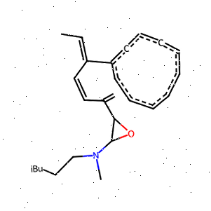 C=C(/C=C\C(=C/C)c1ccccccccc1)C1OC1N(C)CCC(C)CC